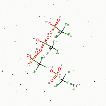 O=S(=O)([O-])C(F)(F)F.O=S(=O)([O-])C(F)(F)F.O=S(=O)([O-])C(F)(F)F.O=S(=O)([O-])C(F)(F)F.[Th+4]